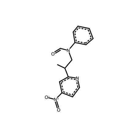 CC(CN(C=O)c1ccccc1)c1cc([N+](=O)[O-])ccn1